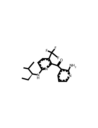 CC[C@H](Nc1ccc(C(F)(F)F)c(C(=O)c2cccnc2N)n1)C(C)C